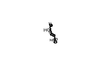 O=C(CCc1ccc2cc(OC[C@H](O)CCc3cccnc3)ccc2c1)NC1CCCCC1